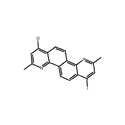 Cc1cc(Cl)c2ccc3c(ccc4c(I)cc(C)nc43)c2n1